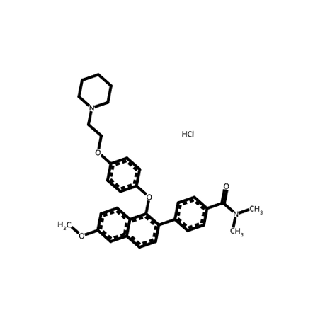 COc1ccc2c(Oc3ccc(OCCN4CCCCC4)cc3)c(-c3ccc(C(=O)N(C)C)cc3)ccc2c1.Cl